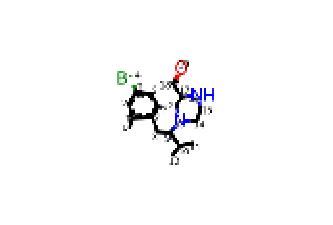 Cc1cc(Br)ccc1CC(C(C)C)N1CCNC(C=O)C1